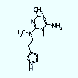 CC1N=C(N)NC(N(C)CCc2cc[nH]c2)=N1